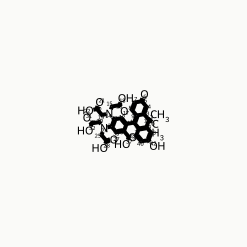 CC1(C)C2=CC(=O)C=CC2=C(c2cc(N(CC(=O)O)CC(=O)O)c(N(CC(=O)O)CC(=O)O)cc2C(=O)O)c2ccc(O)cc21